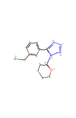 BrCc1cccc(-c2nnnn2C2CCCCO2)c1